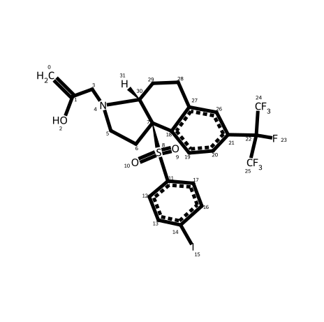 C=C(O)CN1CC[C@@]2(S(=O)(=O)c3ccc(I)cc3)c3ccc(C(F)(C(F)(F)F)C(F)(F)F)cc3CC[C@@H]12